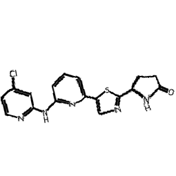 O=C1CCC(c2ncc(-c3cccc(Nc4cc(Cl)ccn4)n3)s2)N1